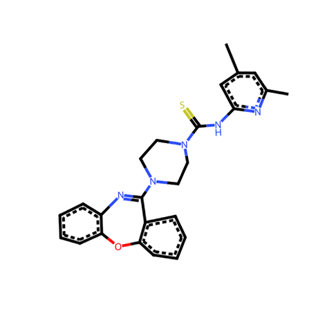 Cc1cc(C)nc(NC(=S)N2CCN(C3=Nc4ccccc4Oc4ccccc43)CC2)c1